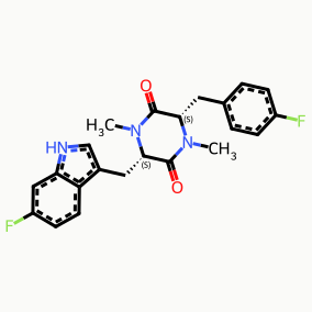 CN1C(=O)[C@H](Cc2c[nH]c3cc(F)ccc23)N(C)C(=O)[C@@H]1Cc1ccc(F)cc1